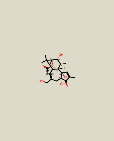 CCCCCCCCCC(=O)O[C@]12C([C@@H]3C=C(CO)C[C@]4(O)C(=O)C(C)=C[C@@]4(O)[C@H]3[C@H](C)[C@H]1O)C2(C)C